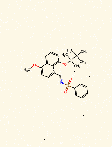 COc1ccc(/C=N/S(=O)(=O)c2ccccc2)c2c(O[Si](C)(C)C(C)(C)C)cccc12